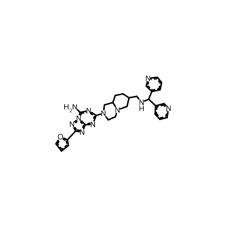 Nc1nc(N2CCN3CC(CNC(c4cccnc4)c4cccnc4)CCC3C2)nc2nc(-c3ccco3)nn12